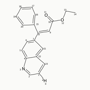 [2H]c1cnc2ccc(C(=CC(=O)OCC)c3ccccc3)cc2c1